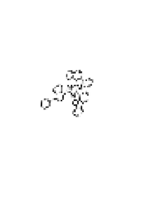 c1ccc(-c2ccc3ccccc3c2-c2nc(-c3ccc(-c4ccccc4)c4ccccc34)nc(-c3cccc4c3oc3ccccc34)n2)cc1